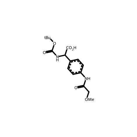 COCC(=O)Nc1ccc(C(NC(=O)OC(C)(C)C)C(=O)O)cc1